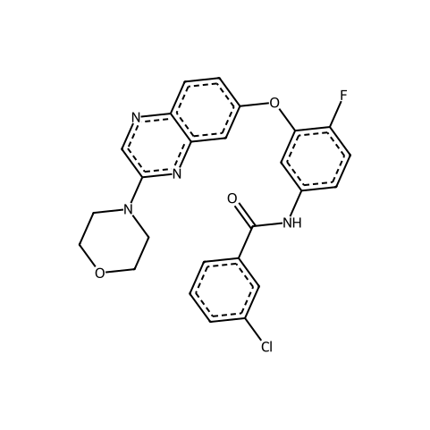 O=C(Nc1ccc(F)c(Oc2ccc3ncc(N4CCOCC4)nc3c2)c1)c1cccc(Cl)c1